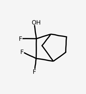 OC1(F)C2CCC(C2)C1(F)F